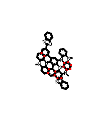 CN1c2ccccc2N(c2cc(-c3cccc(-c4nc5ccccc5o4)c3)c(N3c4ccccc4N(C)c4ccccc43)c(-c3cccc(-c4nc5ccccc5o4)c3)c2N2c3ccccc3N(C)c3ccccc32)c2ccccc21